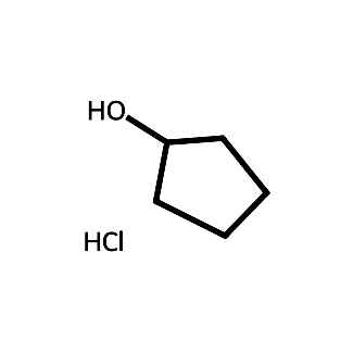 Cl.OC1CCCC1